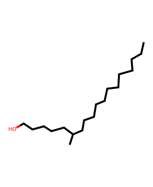 CCCCCCCCCCCCC(C)CCCCCO